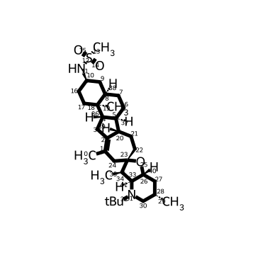 CC1=C2C[C@H]3[C@@H](CC[C@@H]4C[C@H](NS(C)(=O)=O)CC[C@@]43C)[C@@H]2CC[C@@]2(C1)O[C@@H]1C[C@H](C)CN(C(C)(C)C)[C@H]1[C@H]2C